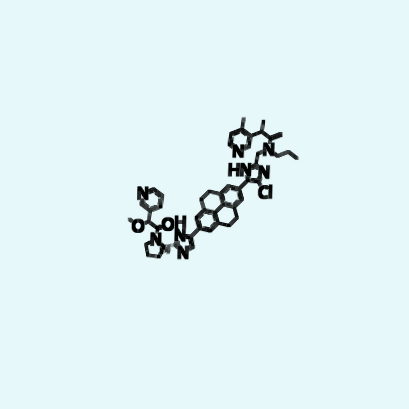 C=C(C(C)c1cnccc1C)N(CCC)Cc1nc(Cl)c(-c2cc3c4c(c2)CCc2cc(-c5cnc([C@@H]6CCCN6C(=O)C(OC)c6cccnc6)[nH]5)cc(c2-4)CC3)[nH]1